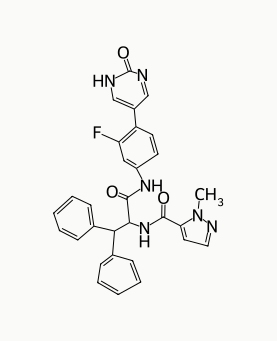 Cn1nccc1C(=O)NC(C(=O)Nc1ccc(-c2cnc(=O)[nH]c2)c(F)c1)C(c1ccccc1)c1ccccc1